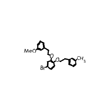 COc1cccc(CCOc2cc(Br)ccc2OCCc2cccc(C)c2)c1